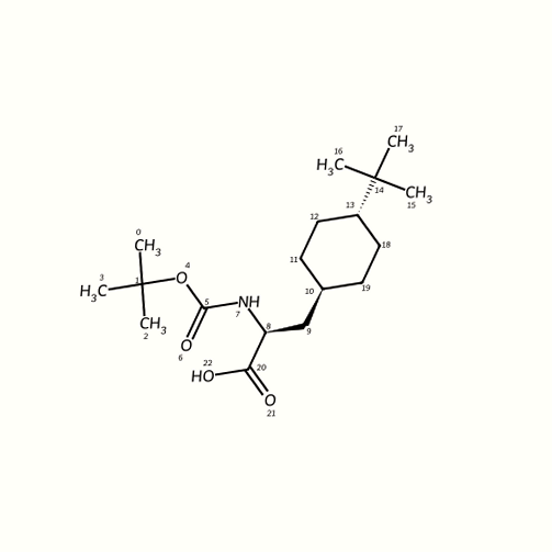 CC(C)(C)OC(=O)N[C@@H](C[C@H]1CC[C@H](C(C)(C)C)CC1)C(=O)O